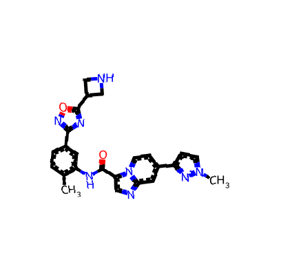 Cc1ccc(-c2noc(C3CNC3)n2)cc1NC(=O)c1cnc2cc(-c3ccn(C)n3)ccn12